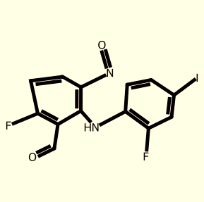 O=Cc1c(F)ccc(N=O)c1Nc1ccc(I)cc1F